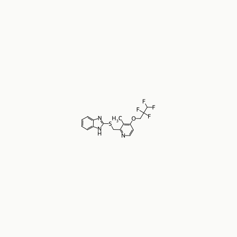 Cc1c(OCC(F)(F)C(F)F)ccnc1CSc1nc2ccccc2[nH]1